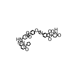 O=C1CCC(N2C(=O)c3ccc(N4CC(Oc5ccc(S(=O)(=O)N6CCC(Nc7ncc8ccc(=O)n(C9CCCC9)c8n7)CC6)cc5)C4)cc3C2=O)C(=O)N1